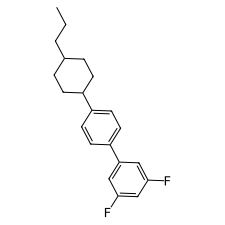 CCCC1CCC(c2ccc(-c3cc(F)cc(F)c3)cc2)CC1